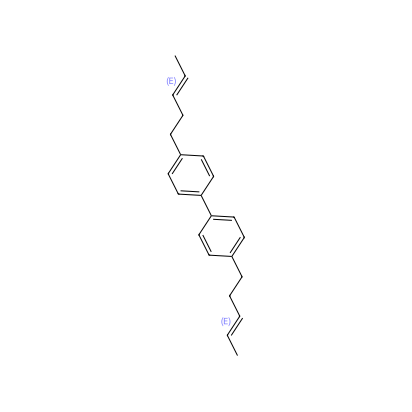 C/C=C/CCc1ccc(-c2ccc(CC/C=C/C)cc2)cc1